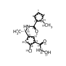 C[C@H](NC(=O)c1cccn1C)c1cc(C(=O)NO)c(Cl)s1